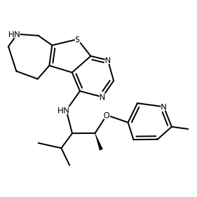 Cc1ccc(O[C@@H](C)C(Nc2ncnc3sc4c(c23)CCCNC4)C(C)C)cn1